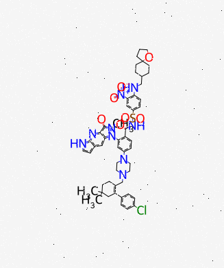 Cn1c(=O)c2nc3[nH]ccc3cc2n1-c1cc(N2CCN(CC3=C(c4ccc(Cl)cc4)CC(C)(C)CC3)CC2)ccc1C(=O)NS(=O)(=O)c1ccc(NCC2CCC3(CCCO3)CC2)c([N+](=O)[O-])c1